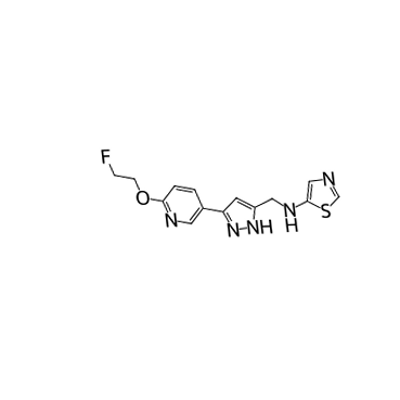 FCCOc1ccc(-c2cc(CNc3cncs3)[nH]n2)cn1